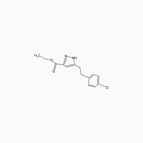 CCOC(=O)c1cc(CCc2ccc(Cl)cc2)[nH]n1